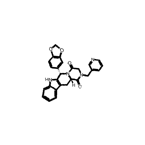 O=C1[C@@H]2Cc3c([nH]c4ccccc34)[C@H](c3ccc4c(c3)OCO4)N2C(=O)CN1Cc1cccnc1